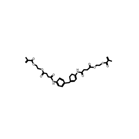 C=C(C)C(=O)OCCOC(=O)CCC(=O)NC1=CC=C(Cc2ccc(NC(=O)CCC(=O)OCCOC(=O)C(=C)C)cc2)CC1